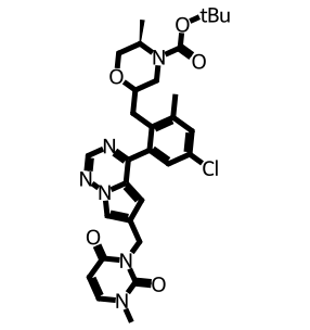 Cc1cc(Cl)cc(-c2ncnn3cc(Cn4c(=O)ccn(C)c4=O)cc23)c1CC1CN(C(=O)OC(C)(C)C)[C@H](C)CO1